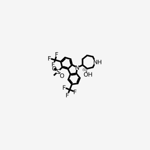 CS(=O)(=O)c1c(C(F)(F)F)ccc2c1c1cc(C(F)(F)F)ccc1n2C1CCCNC[C@@H]1O